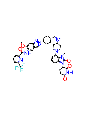 COc1cc2nn([C@H]3CC[C@H](CN(C)C4CCN(c5cccc6c5n(C)c(=O)n6[C@H]5CCC(=O)NC5=O)CC4)CC3)cc2cc1NC(=O)c1cccc(C(F)(F)F)n1